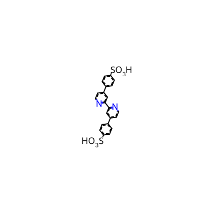 O=S(=O)(O)c1ccc(-c2ccnc(-c3cc(-c4ccc(S(=O)(=O)O)cc4)ccn3)c2)cc1